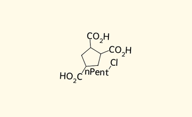 CCCCCCl.O=C(O)C1CC(C(=O)O)C(C(=O)O)C1